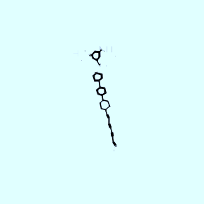 CC#CC#CC#CC#CC1CCC(c2ccc(-c3ccc(OC(=O)c4cc(N)cc(N)c4)cc3)cc2)CC1